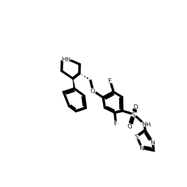 O=S(=O)(Nc1ncns1)c1cc(F)c(OC[C@H]2CNCC[C@@H]2c2ccccc2)cc1F